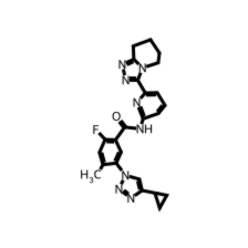 Cc1cc(F)c(C(=O)Nc2cccc(-c3nnc4n3CCCC4)n2)cc1-n1cc(C2CC2)nn1